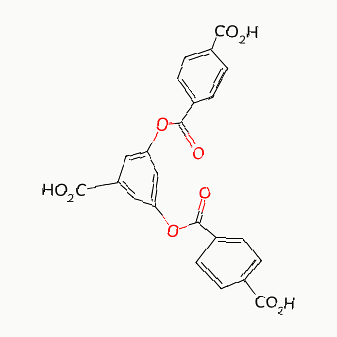 O=C(O)c1ccc(C(=O)Oc2cc(OC(=O)c3ccc(C(=O)O)cc3)cc(C(=O)O)c2)cc1